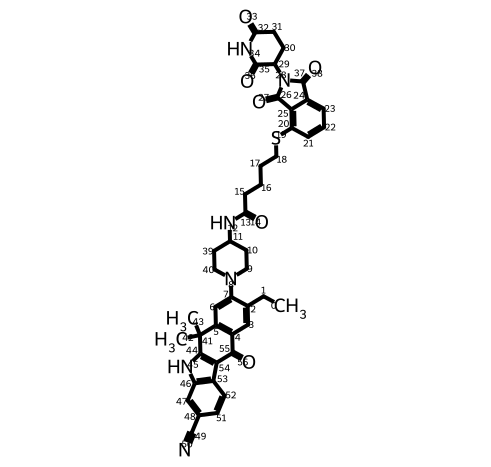 CCc1cc2c(cc1N1CCC(NC(=O)CCCCSc3cccc4c3C(=O)N(C3CCC(=O)NC3=O)C4=O)CC1)C(C)(C)c1[nH]c3cc(C#N)ccc3c1C2=O